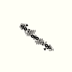 N=C(NC(=N)N1CCN(c2cc3c(cc2F)c(=O)c(C(=O)O)cn3C2CC2)CC1)Nc1ccc(S(=O)(=O)c2ccc(NC(=N)NC(=N)N3CCN(c4cc5c(cc4F)c(=O)c(C(=O)O)cn5C4CC4)CC3)cc2)cc1